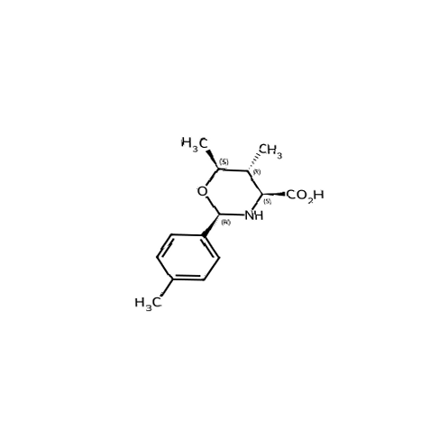 Cc1ccc([C@@H]2N[C@H](C(=O)O)[C@@H](C)[C@H](C)O2)cc1